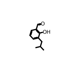 CC(C)Cc1cccc(C=O)c1O